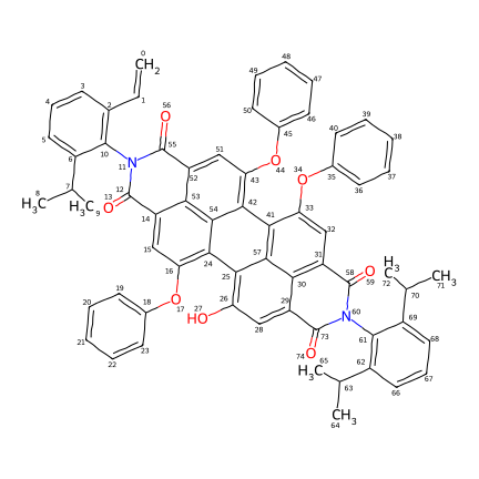 C=Cc1cccc(C(C)C)c1N1C(=O)c2cc(Oc3ccccc3)c3c4c(O)cc5c6c(cc(Oc7ccccc7)c(c7c(Oc8ccccc8)cc(c2c37)C1=O)c64)C(=O)N(c1c(C(C)C)cccc1C(C)C)C5=O